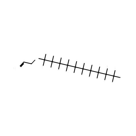 C=CCOC(F)(F)C(F)(F)C(F)(F)C(F)(F)C(F)(F)C(F)(F)C(F)(F)C(F)(F)C(F)(F)C(F)(F)F